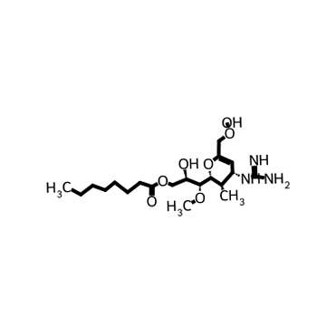 CCCCCCCC(=O)OC[C@@H](O)[C@@H](OC)[C@@H]1OC(COO)=C[C@H](NC(=N)N)[C@H]1C